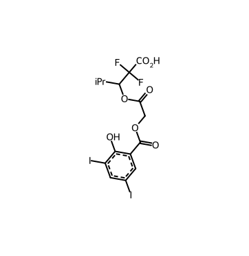 CC(C)C(OC(=O)COC(=O)c1cc(I)cc(I)c1O)C(F)(F)C(=O)O